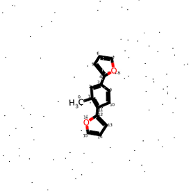 Cc1cc(-c2ccco2)ccc1-c1ccco1